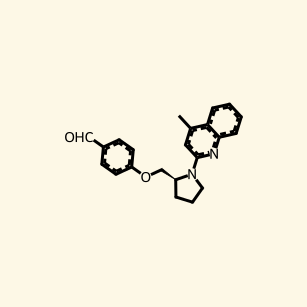 Cc1cc(N2CCC[C@H]2COc2ccc(C=O)cc2)nc2ccccc12